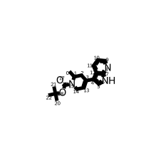 CC1CC(c2c[nH]c3ncccc23)=CCN1C(=O)OC(C)(C)C